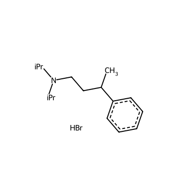 Br.CC(CCN(C(C)C)C(C)C)c1ccccc1